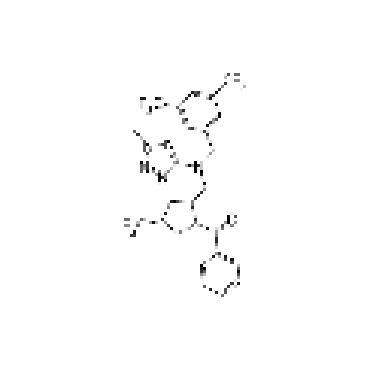 Cn1nnc(N(Cc2cc(C(F)(F)F)cc(C(F)(F)F)c2)CC2CC(C(F)(F)F)CC2C(=O)c2ccccc2)n1